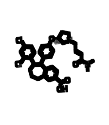 CN(C)C(=O)C=CCN1CC[C@@H](Oc2ccc(C3=C(c4ccc(Cl)cc4Cl)CCCc4cc(C(=O)O)ccc43)cc2)C1